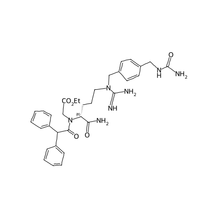 CCOC(=O)CN(C(=O)C(c1ccccc1)c1ccccc1)[C@H](CCCN(Cc1ccc(CNC(N)=O)cc1)C(=N)N)C(N)=O